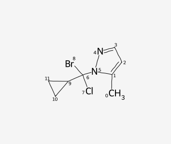 Cc1ccnn1C(Cl)(Br)C1CC1